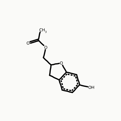 CC(=O)OCC1Cc2ccc(O)cc2O1